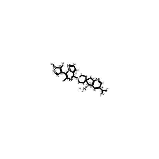 Cc1nc(N2CCC3(CC2)Cc2ncc(C(F)F)cc2[C@H]3N)c2ccnn2c1-c1cnn(C)c1C